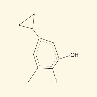 Cc1cc(C2CC2)cc(O)c1I